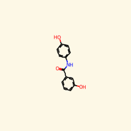 O=C(Nc1ccc(O)cc1)c1cccc(O)c1